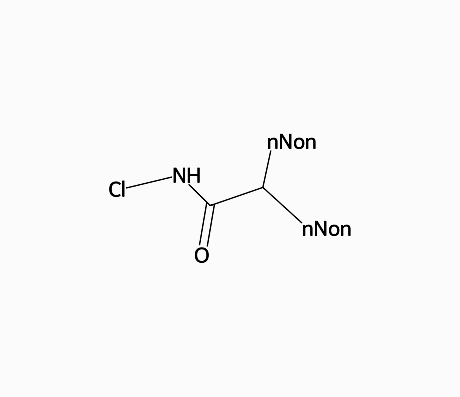 CCCCCCCCCC(CCCCCCCCC)C(=O)NCl